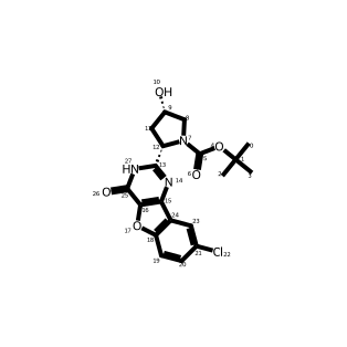 CC(C)(C)OC(=O)N1C[C@@H](O)C[C@H]1c1nc2c(oc3ccc(Cl)cc32)c(=O)[nH]1